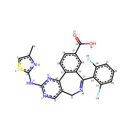 Cc1csc(Nc2ncc3c(n2)-c2ccc(C(=O)O)cc2C(c2c(F)cccc2F)=NC3)n1